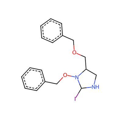 IC1NCC(COCc2ccccc2)N1OCc1ccccc1